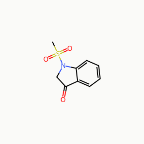 CS(=O)(=O)N1CC(=O)c2ccccc21